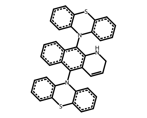 C1=Cc2c(c(N3c4ccccc4Sc4ccccc43)c3ccccc3c2N2c3ccccc3Sc3ccccc32)NC1